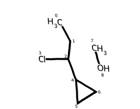 CCC(Cl)C1CC1.CO